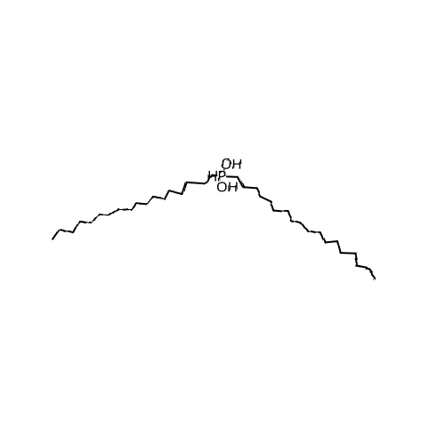 CCCCCCCCCCCCCCCCCC[PH](O)(O)CCCCCCCCCCCCCCCCCC